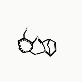 Fc1cccc2c1N=C1C3C=CC(C3)N1C2